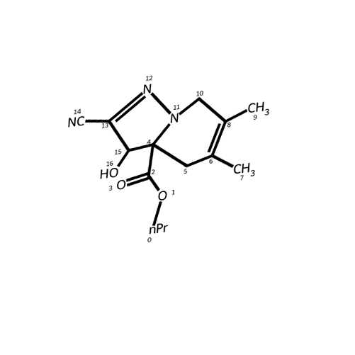 CCCOC(=O)C12CC(C)=C(C)CN1N=C(C#N)C2O